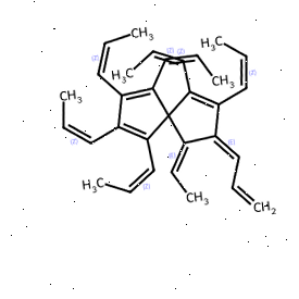 C=C/C=C1C(/C=C\C)=C(/C=C\C)C2(C(/C=C\C)=C(/C=C\C)C(/C=C\C)=C2/C=C\C)C/1=C/C